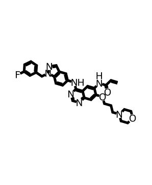 C=CC(=O)Nc1cc2c(Nc3ccc4c(cnn4Cc4cccc(F)c4)c3)ncnc2cc1OCCCN1CCOCC1